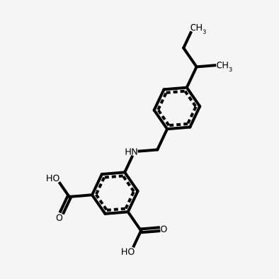 CCC(C)c1ccc(CNc2cc(C(=O)O)cc(C(=O)O)c2)cc1